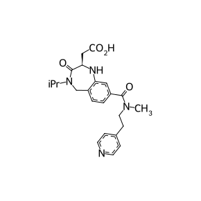 CC(C)N1Cc2ccc(C(=O)N(C)CCc3ccncc3)cc2N[C@H](CC(=O)O)C1=O